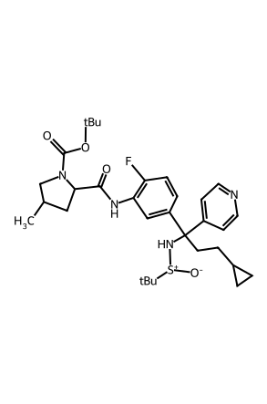 CC1CC(C(=O)Nc2cc(C(CCC3CC3)(N[S+]([O-])C(C)(C)C)c3ccncc3)ccc2F)N(C(=O)OC(C)(C)C)C1